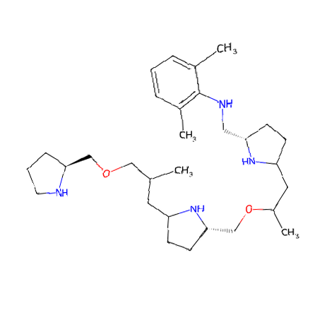 Cc1cccc(C)c1NC[C@@H]1CCC(CC(C)OC[C@@H]2CCC(CC(C)COC[C@@H]3CCCN3)N2)N1